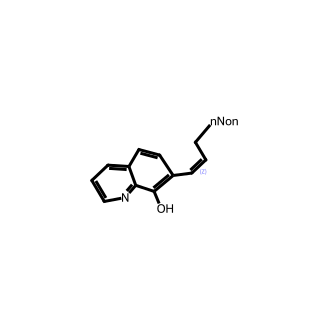 CCCCCCCCCC/C=C\c1ccc2cccnc2c1O